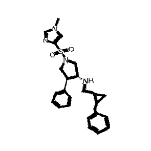 Cn1cnc(S(=O)(=O)N2C[C@H](NCC3CC3c3ccccc3)[C@@H](c3ccccc3)C2)c1